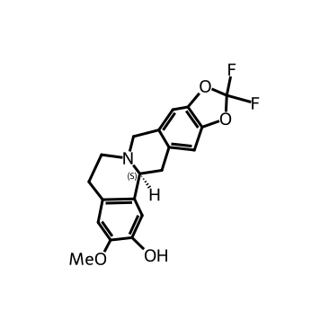 COc1cc2c(cc1O)[C@@H]1Cc3cc4c(cc3CN1CC2)OC(F)(F)O4